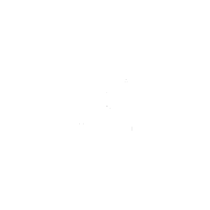 C=C(C(C)=O)C(C)=O.OCCO